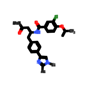 CCn1cc(-c2ccc(CC(CC(=O)NC)NC(=O)c3ccc(OC(C)C(F)(F)F)c(Cl)c3)cc2)nc1C(C)=O